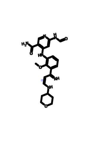 COc1c(Nc2cc(NC=O)ncc2C(N)=O)cccc1C(=N)/C=C\NC1CCOCC1